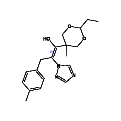 CCC1OCC(C)(/C(O)=C(/Cc2ccc(C)cc2)n2cncn2)CO1